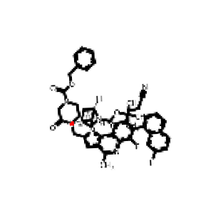 Cc1nc2c(F)c(-c3cccc4ccc(F)cc34)c(CCC#N)cc2c2c1cc(CN1CCN(C(=O)OCc3ccccc3)CC1=O)n2[C@H]1[C@@H]2C[C@H]1N(C(=O)OC(C)(C)C)C2